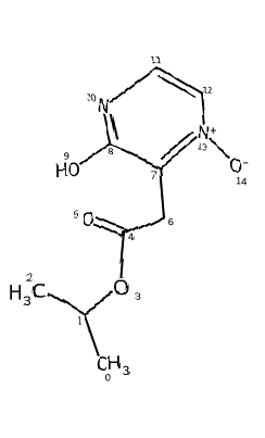 CC(C)OC(=O)Cc1c(O)ncc[n+]1[O-]